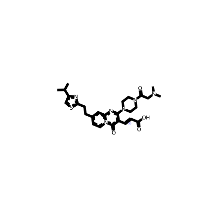 CC(C)c1csc(CCc2ccn3c(=O)c(/C=C/C(=O)O)c(N4CCN(C(=O)CN(C)C)CC4)nc3c2)n1